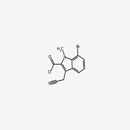 Cn1c(C(=O)Cl)c(CC#N)c2cccc(Br)c21